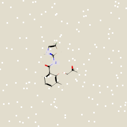 CC(=O)COc1c(C)cccc1C(=O)Nc1ncc(Cl)s1